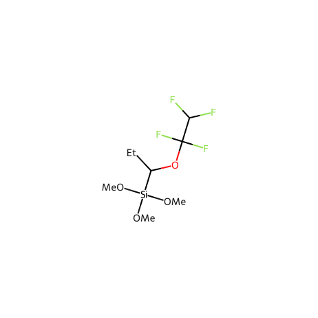 CCC(OC(F)(F)C(F)F)[Si](OC)(OC)OC